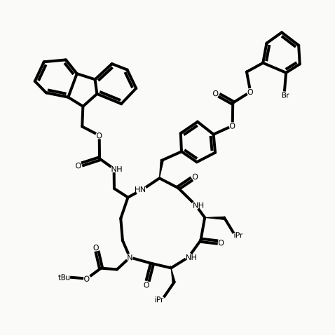 CC(C)C[C@@H]1NC(=O)[C@H](Cc2ccc(OC(=O)OCc3ccccc3Br)cc2)NC(CNC(=O)OCC2c3ccccc3-c3ccccc32)CCN(CC(=O)OC(C)(C)C)C(=O)[C@H](CC(C)C)NC1=O